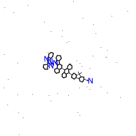 CC1(C)c2cc(C#N)ccc2-c2ccc(-c3c4ccccc4c(-c4cc5c6ccccc6n(-c6nc7ccccc7c7nc8ccccc8n67)c5c5ccccc45)c4ccccc34)cc21